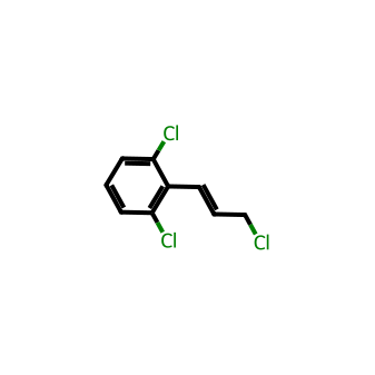 ClCC=Cc1c(Cl)cccc1Cl